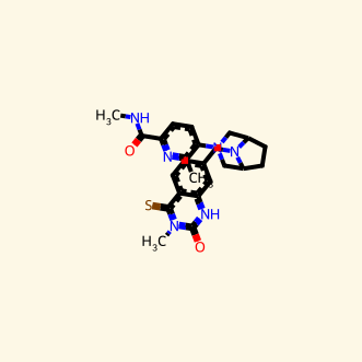 CNC(=O)c1ccc(N2CC3CCC(C2)N3Cc2ccc3c(=S)n(C)c(=O)[nH]c3c2)c(C)n1